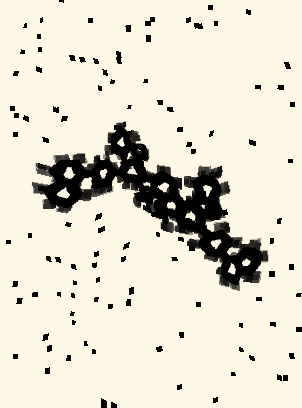 C[Si]1(C)c2cc(-c3ccc(-c4cccc5ccccc45)cc3)c3c(oc4ccccc43)c2-c2ccc3c(c21)[Si](C)(C)c1cc(-c2ccc(-c4cccc5ccccc45)cc2)c2oc4ccccc4c2c1-3